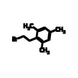 Cc1cc(C)c(CCBr)c(C)c1